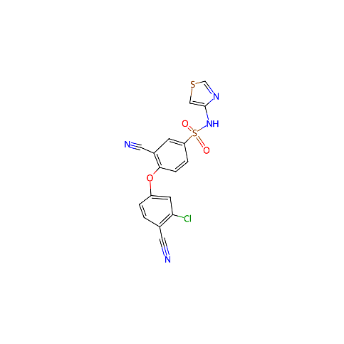 N#Cc1ccc(Oc2ccc(S(=O)(=O)Nc3cscn3)cc2C#N)cc1Cl